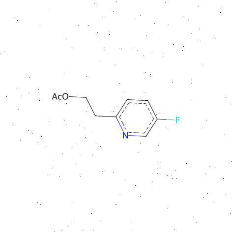 CC(=O)OCCc1ccc(F)cn1